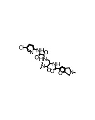 CN1Cc2cc(C(=O)NC(CNC(=O)C(=O)Nc3ccc(Cl)cn3)C(=O)N(C)C)oc2C1